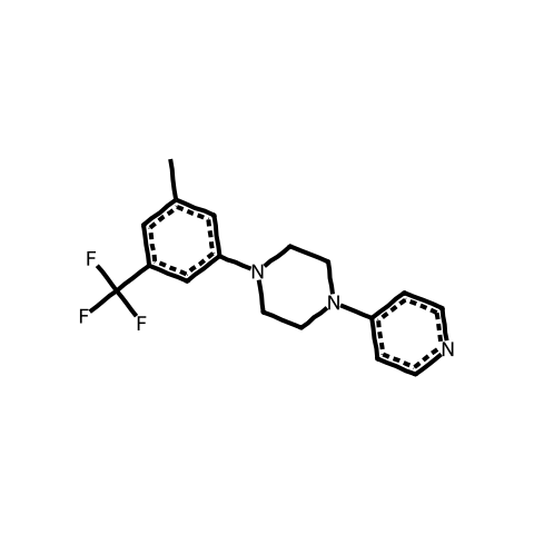 Cc1cc(N2CCN(c3ccncc3)CC2)cc(C(F)(F)F)c1